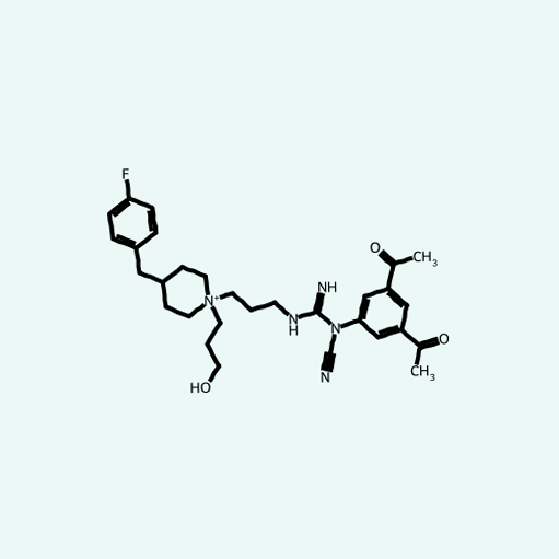 CC(=O)c1cc(C(C)=O)cc(N(C#N)C(=N)NCCC[N+]2(CCCO)CCC(Cc3ccc(F)cc3)CC2)c1